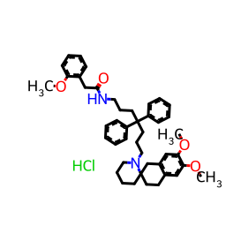 COc1ccccc1CC(=O)NCCCC(CCCN1CCCCC12CCc1cc(OC)c(OC)cc1C2)(c1ccccc1)c1ccccc1.Cl